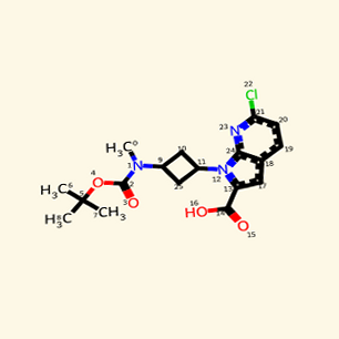 CN(C(=O)OC(C)(C)C)C1CC(n2c(C(=O)O)cc3ccc(Cl)nc32)C1